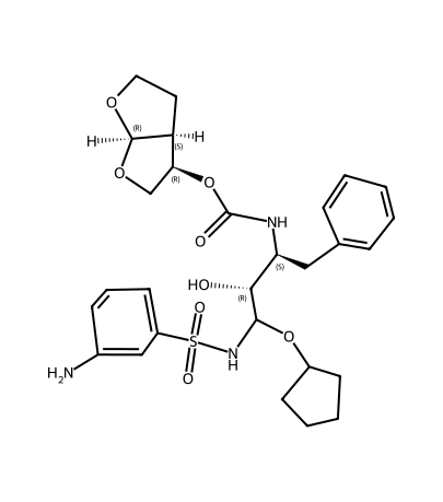 Nc1cccc(S(=O)(=O)NC(OC2CCCC2)[C@H](O)[C@H](Cc2ccccc2)NC(=O)O[C@H]2CO[C@H]3OCC[C@H]32)c1